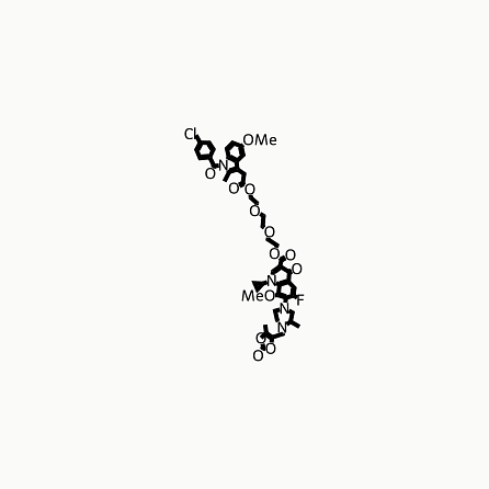 COc1ccc2c(c1)c(CC(=O)OCCOCCOCCOC(=O)c1cn(C3CC3)c3c(OC)c(N4CCN(Cc5oc(=O)oc5C)C(C)C4)c(F)cc3c1=O)c(C)n2C(=O)c1ccc(Cl)cc1